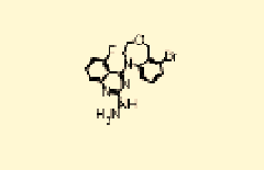 NNc1nc(N2CCOCc3c(Br)cccc32)c2c(F)cccc2n1